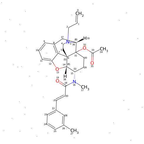 C=CCN1CC[C@]23c4c5cccc4O[C@H]2[C@@H](N(C)C(=O)C=Cc2cccc(C)c2)CCC3(OC(C)=O)[C@H]1C5